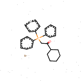 O=C(C[P+](c1ccccc1)(c1ccccc1)c1ccccc1)C1CCCCC1.[Br-]